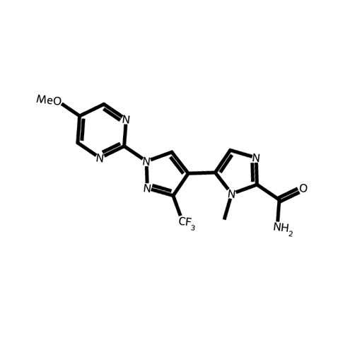 COc1cnc(-n2cc(-c3cnc(C(N)=O)n3C)c(C(F)(F)F)n2)nc1